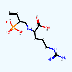 C=CC(CNC(CCCNC(=N)N)C(=O)O)P(=O)(O)O